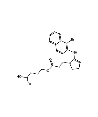 O=C(OCCON(O)O)OCN1CCN=C1Nc1ccc2nccnc2c1Br